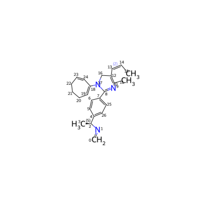 C=N[C@@H](C)c1ccc(C2=NC(C)=C(/C=C\C)CN2C2=CCCCC=C2)cc1